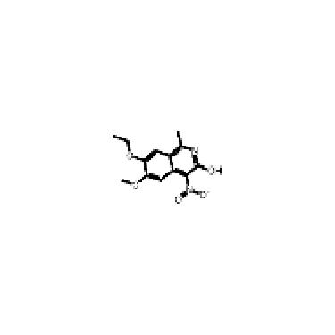 CCOc1cc2c(C)nc(O)c([N+](=O)[O-])c2cc1OC